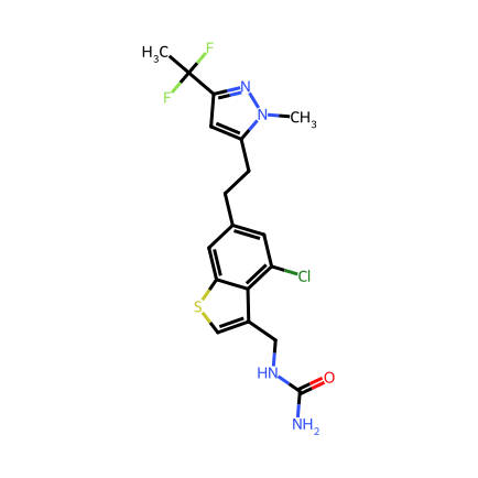 Cn1nc(C(C)(F)F)cc1CCc1cc(Cl)c2c(CNC(N)=O)csc2c1